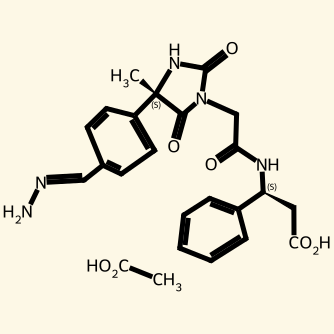 CC(=O)O.C[C@@]1(c2ccc(C=NN)cc2)NC(=O)N(CC(=O)N[C@@H](CC(=O)O)c2ccccc2)C1=O